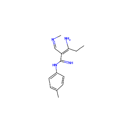 CC/C(N)=C(/C=N\C)C(=N)Nc1ccc(C)cc1